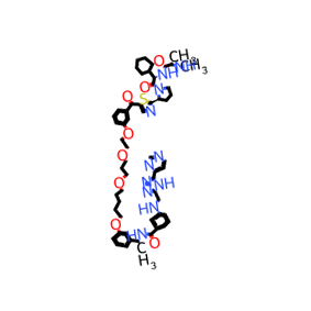 CN[C@@H](C)C(=O)N[C@H](C(=O)N1CCC[C@H]1c1ncc(C(=O)c2cccc(OCCOCCCOCCCCCOc3cccc([C@@H](C)NC(=O)c4cccc(NCc5nnc(-c6ccncn6)[nH]5)c4)c3)c2)s1)C1CCCCC1